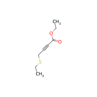 CCOC(=O)C#CCSCC